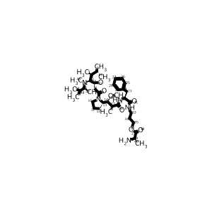 CC[C@H](C)[C@@H]([C@@H](CC(=O)N1CCC[C@H]1[C@H](OC)[C@@H](C)C(=O)N[C@@H](Cc1ccccc1)C(=O)NCCCOC(=O)[C@H](C)N)OC)N(C)[C@@H](C)C(C)C